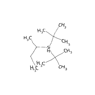 CCC(C)[SiH](C(C)(C)C)C(C)(C)C